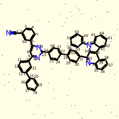 N#Cc1cccc(-c2cc(-c3cccc(-c4ccccc4)c3)nc(-c3ccc(-c4ccc(-c5nc6ccccc6c6c7ccccc7n(-c7ccccc7)c56)cc4)cc3)n2)c1